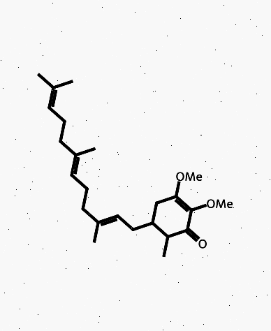 COC1=C(OC)C(=O)C(C)C(C/C=C(\C)CC/C=C(\C)CCC=C(C)C)C1